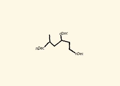 CCCCCCCCCCCCC(CCCCCCCCCC)CC(C)CCCCCCCCCC